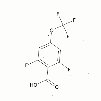 O=C(O)c1c(F)cc(OC(F)(F)F)cc1F